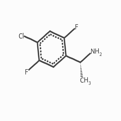 C[C@@H](N)c1cc(F)c(Cl)cc1F